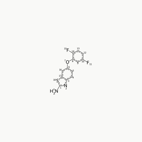 Nc1nc2ccc(Oc3cc(F)ccc3F)cc2s1